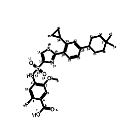 COc1cc(C(=O)O)c(F)cc1NS(=O)(=O)c1csc(-c2ccc(C3CCC(C)(C)CC3)cc2C2CC2)n1